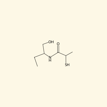 CCC(CO)NC(=O)C(C)S